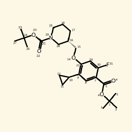 CC(C)(C)OC(=O)c1cc(C2CC2)c(OC[C@H]2CCCN(C(=O)OC(C)(C)C)C2)cc1F